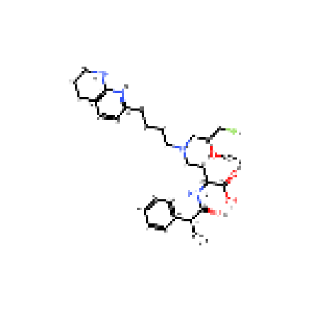 COC(CF)CN(CCCCc1ccc2c(n1)NCCC2)CCC(NC(=O)C(C)c1ccccc1)C(=O)O